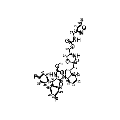 COC(=O)N[C@H](C(=O)Nc1cccc(F)c1CC[C@@H]1CN[C@H](COC(=O)NCc2cc(C)on2)CO1)C(c1ccc(F)cc1)c1ccc(F)cc1